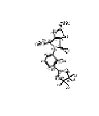 CCCCc1nc2c(s1)C(=O)N(c1cccc(B3OC(C)(C)C(C)(C)O3)c1C)C2CCCC